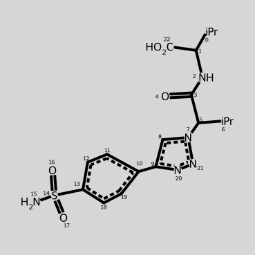 CC(C)C(NC(=O)C(C(C)C)n1cc(-c2ccc(S(N)(=O)=O)cc2)nn1)C(=O)O